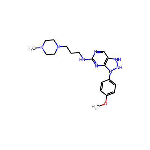 COc1ccc(N2NNc3cnc(NCCCN4CCN(C)CC4)nc32)cc1